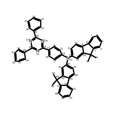 CC1(C)c2ccccc2-c2ccc(N(c3ccc(-c4nc(-c5ccccc5)nc(-c5ccccc5)n4)cc3)c3ccc4c(c3)C(C)(C)c3ccccc3-4)cc21